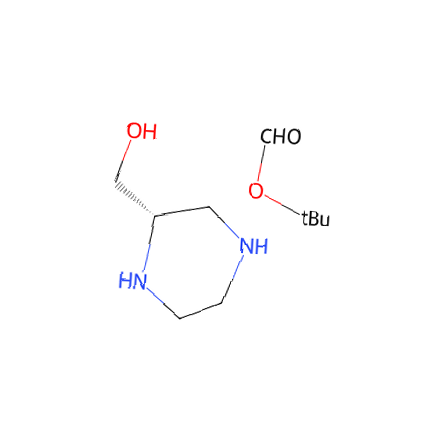 CC(C)(C)OC=O.OC[C@@H]1CNCCN1